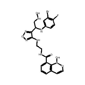 O=C(NCCNc1nonc1C(CNO)Nc1ccc(F)c(Br)c1)c1cccc2c1B(O)OC=C2